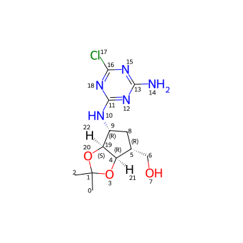 CC1(C)O[C@@H]2[C@@H](CO)C[C@@H](Nc3nc(N)nc(Cl)n3)[C@@H]2O1